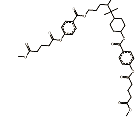 COC(=O)CCCC(=O)Oc1ccc(C(=O)OCCCC(C)C(C)(C)C2CCC(OC(=O)c3ccc(OC(=O)CCCC(=O)OC)cc3)CC2)cc1